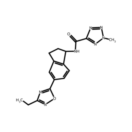 CCc1noc(-c2ccc3c(c2)CCC3NC(=O)c2nnn(C)n2)n1